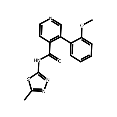 COc1ccccc1-c1cnccc1C(=O)Nc1nnc(C)s1